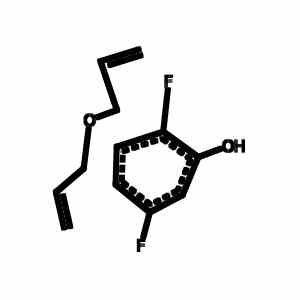 C=CCOCC=C.Oc1cc(F)ccc1F